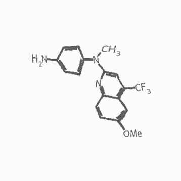 COc1ccc2nc(N(C)c3ccc(N)cc3)cc(C(F)(F)F)c2c1